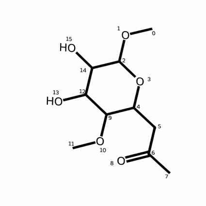 COC1OC(CC(C)=O)C(OC)C(O)C1O